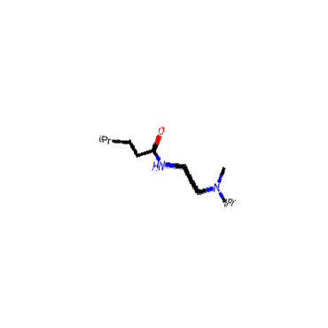 CC(C)CCC(=O)NCCN(C)C(C)C